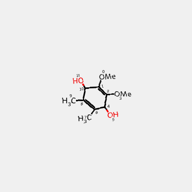 COC1=C(OC)C(O)C(C)=C(C)C1O